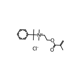 C=C(C)C(=O)OCC[N+](C)(C)C(C)(C)c1ccccc1.[Cl-]